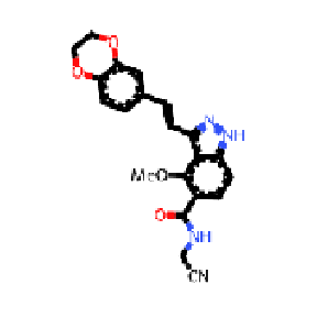 COc1c(C(=O)NCC#N)ccc2[nH]nc(C=Cc3ccc4c(c3)OCCO4)c12